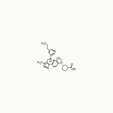 CCCc1cnnc(NCc2c(-c3ccc(O[C@H]4CCC[C@H](C(=O)O)C4)c(C)n3)nnn2C)c1